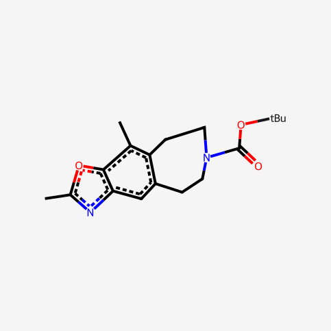 Cc1nc2cc3c(c(C)c2o1)CCN(C(=O)OC(C)(C)C)CC3